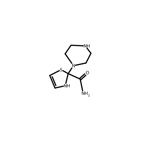 NC(=O)C1(N2CCNCC2)NC=CS1